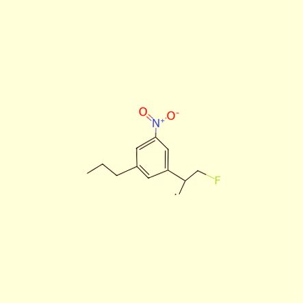 [CH2]C(CF)c1cc(CCC)cc([N+](=O)[O-])c1